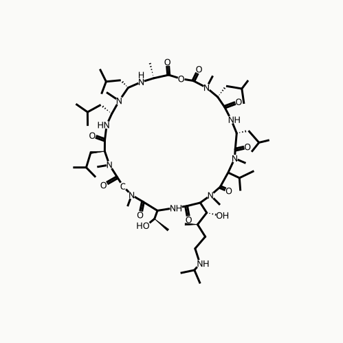 CC(C)C[C@@H]1C(=O)N[C@H](CC(C)C)C(=O)N(C)C(C(C)C)C(=O)N(C)C([C@H](O)[C@H](C)CCNC(C)C)C(=O)NC([C@@H](C)O)C(=O)N(C)CC(=O)N(C)[C@@H](CC(C)C)C(=O)N[C@H](CC(C)C)N(C)[C@H](CC(C)C)N[C@H](C)C(=O)OC(=O)N1C